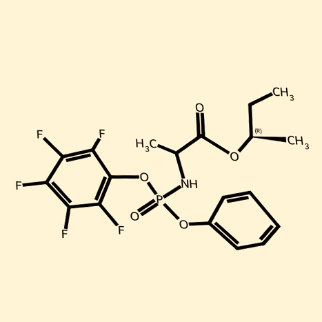 CC[C@@H](C)OC(=O)C(C)NP(=O)(Oc1ccccc1)Oc1c(F)c(F)c(F)c(F)c1F